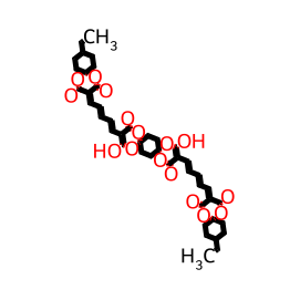 CCC1CCC2(CC1)OC(=O)C(=C/C=C/C=C/C1=C(O)OC3(CCC4(CC3)OC(=O)C(/C=C/C=C/C=C3C(=O)OC5(CCC(CC)CC5)OC3=O)=C(O)O4)OC1=O)C(=O)O2